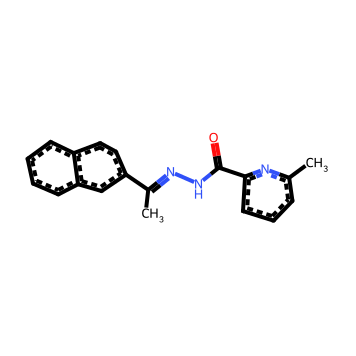 CC(=NNC(=O)c1cccc(C)n1)c1ccc2ccccc2c1